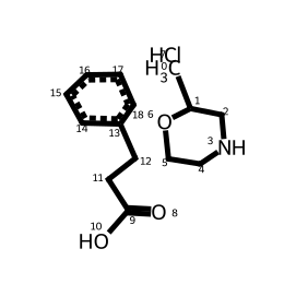 CC1CNCCO1.Cl.O=C(O)CCc1ccccc1